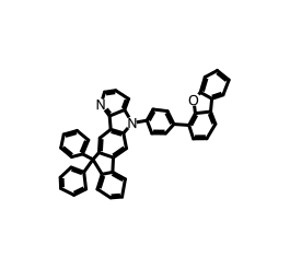 c1ccc(C2(c3ccccc3)c3ccccc3-c3cc4c(cc32)c2ncccc2n4-c2ccc(-c3cccc4c3oc3ccccc34)cc2)cc1